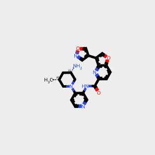 C[C@@H]1C[C@H](N)CN(c2ccncc2NC(=O)c2ccc3occ(-c4cnoc4)c3n2)C1